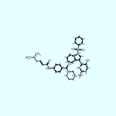 CN(C)C/C=C/C(=O)Nc1ccc(C(=O)N2CCC[C@@H](Nc3ncc(Cl)c(-c4cn(S(=O)(=O)c5ccccc5)c5ccccc45)n3)C2)cc1